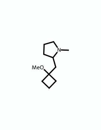 COC1(CC2CCCN2C)CCC1